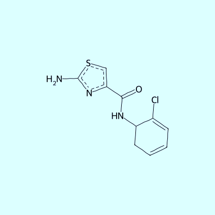 Nc1nc(C(=O)NC2CC=CC=C2Cl)cs1